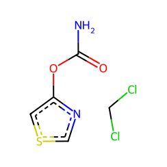 ClCCl.NC(=O)Oc1cscn1